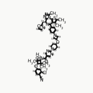 Cc1sc2c(c1C)C(c1ccc(N3CC(OC4CCN(c5ncc(C(=O)NC6C(C)(C)C(Oc7ccc(C#N)c(Cl)c7)C6(C)C)cn5)CC4)C3)cc1)=N[C@@H](Cc1ncco1)c1nnc(C)n1-2